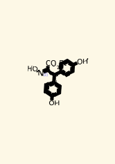 CCOC(=O)/C(=N\O)C(c1ccc(O)cc1)c1ccc(O)cc1